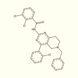 O=C(Nc1nc2c(c(-c3ccccc3Cl)n1)CN(Cc1ccccc1)CC2)c1cccc(Cl)c1Cl